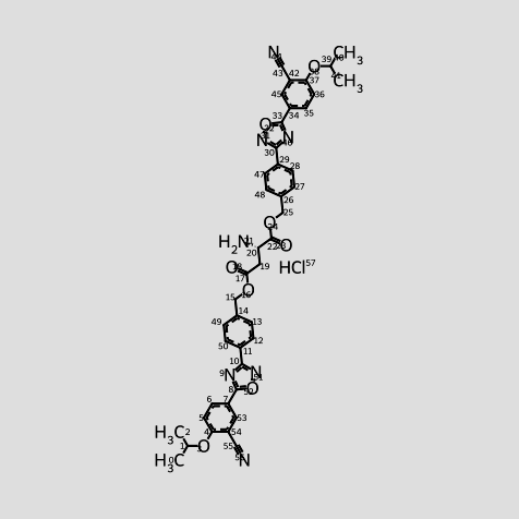 CC(C)Oc1ccc(-c2nc(-c3ccc(COC(=O)C[C@H](N)C(=O)OCc4ccc(-c5noc(-c6ccc(OC(C)C)c(C#N)c6)n5)cc4)cc3)no2)cc1C#N.Cl